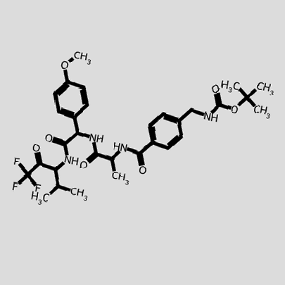 COc1ccc(C(NC(=O)C(C)NC(=O)c2ccc(CNC(=O)OC(C)(C)C)cc2)C(=O)NC(C(=O)C(F)(F)F)C(C)C)cc1